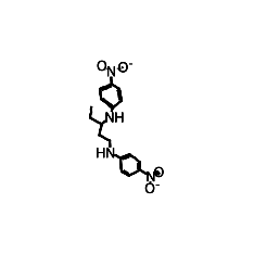 CCC(CCNc1ccc([N+](=O)[O-])cc1)Nc1ccc([N+](=O)[O-])cc1